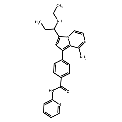 CCNC(CC)c1nc(-c2ccc(C(=O)Nc3ccccn3)cc2)c2c(N)nccn12